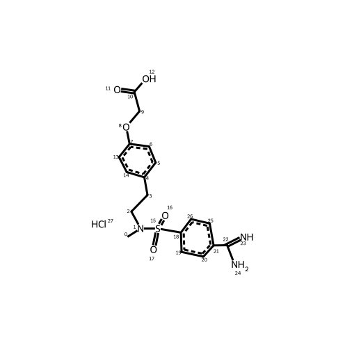 CN(CCc1ccc(OCC(=O)O)cc1)S(=O)(=O)c1ccc(C(=N)N)cc1.Cl